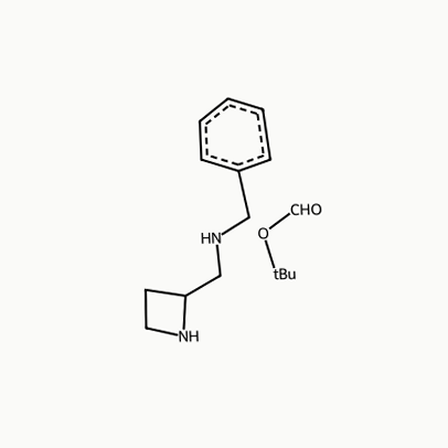 CC(C)(C)OC=O.c1ccc(CNCC2CCN2)cc1